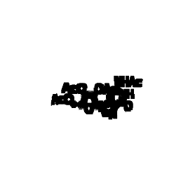 CC(=O)Nc1nc2c(ncn2[C@@H]2O[C@H](COC(C)=O)[C@@H](OC(C)=O)[C@H]2OC(C)=O)c(=O)[nH]1